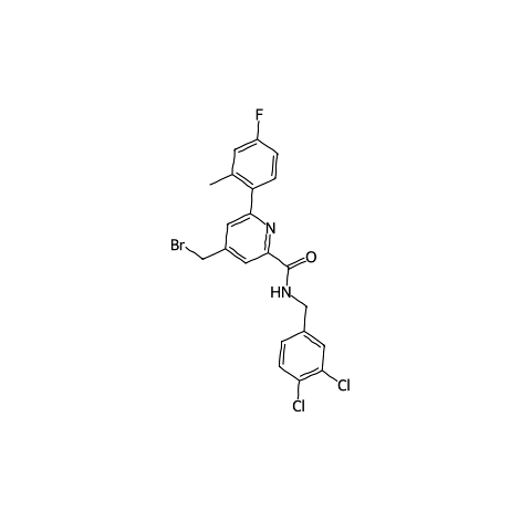 Cc1cc(F)ccc1-c1cc(CBr)cc(C(=O)NCc2ccc(Cl)c(Cl)c2)n1